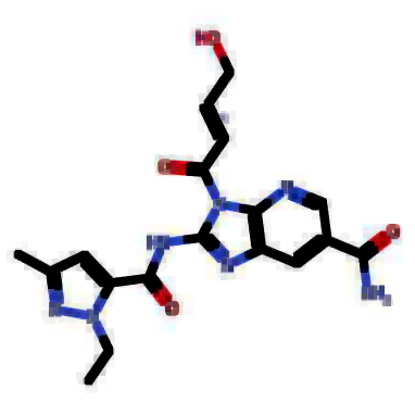 CCn1nc(C)cc1C(=O)Nc1nc2cc(C(N)=O)cnc2n1C(=O)/C=C/CO